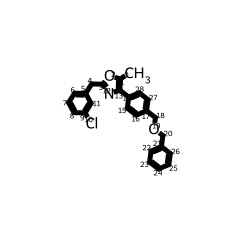 Cc1oc(Cc2cccc(Cl)c2)nc1-c1ccc(COCc2ccccc2)cc1